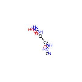 NC[C@H](NC(=O)c1ccc(C#Cc2ccc(NC(=O)CNCc3ccccn3)cc2)cc1)C(=O)NO